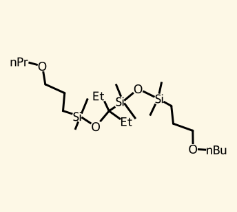 CCCCOCCC[Si](C)(C)O[Si](C)(C)C(CC)(CC)O[Si](C)(C)CCCOCCC